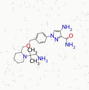 CC(C)(CN)N1CCCCC1COCc1ccc(-n2cc(N)c(C(N)=O)n2)cc1